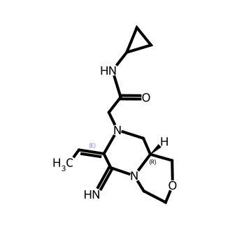 C/C=C1\C(=N)N2CCOC[C@H]2CN1CC(=O)NC1CC1